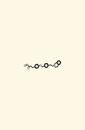 O=NC(=O)CCc1ccc(OCc2ccc(CCN3CCc4ccccc4C3)cc2)cc1